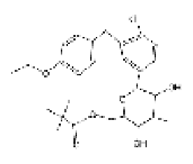 CCOc1ccc(Cc2cc(C3OC(COC(=O)C(C)(C)C)C(O)C(C)C3O)ccc2Cl)cc1